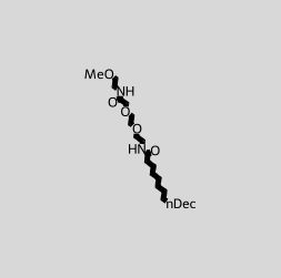 CCCCCCCCCCCCCCCCCC(=O)NCCOCCOCC(=O)NCCOC